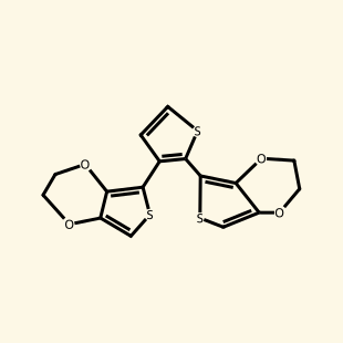 c1cc(-c2scc3c2OCCO3)c(-c2scc3c2OCCO3)s1